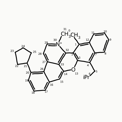 Cc1c2c(c(CC(C)C)c3ccccc13)Oc1cc3cccc(C4CCCC4)c3c3cc[n+](C)c-2c13